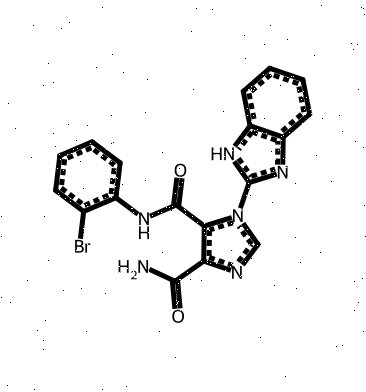 NC(=O)c1ncn(-c2nc3ccccc3[nH]2)c1C(=O)Nc1ccccc1Br